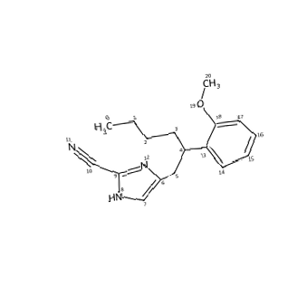 CCCCC(Cc1c[nH]c(C#N)n1)c1ccccc1OC